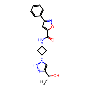 C[C@@H](O)C1=CN([C@H]2C[C@H](NC(=O)c3cc(-c4ccccc4)no3)C2)NN1